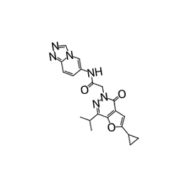 CC(C)c1nn(CC(=O)Nc2ccc3nncn3c2)c(=O)c2cc(C3CC3)oc12